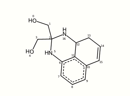 OCC1(CO)Nc2cccc3c2C(CC=C3)N1